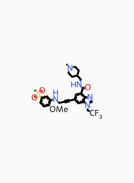 COc1ccc(S(C)(=O)=O)cc1NCC#Cc1cc(C(=O)NCC2CCN(C)CC2)c2ncn(CC(F)(F)F)c2c1